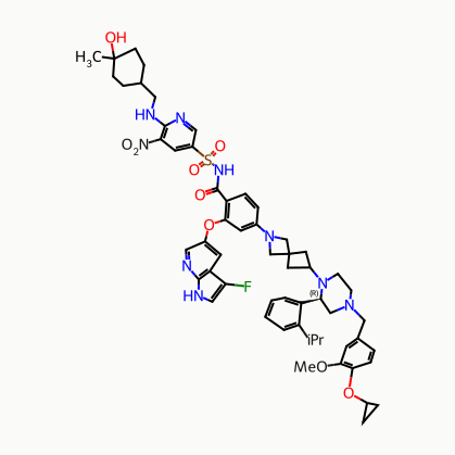 COc1cc(CN2CCN(C3CC4(C3)CN(c3ccc(C(=O)NS(=O)(=O)c5cnc(NCC6CCC(C)(O)CC6)c([N+](=O)[O-])c5)c(Oc5cnc6[nH]cc(F)c6c5)c3)C4)[C@H](c3ccccc3C(C)C)C2)ccc1OC1CC1